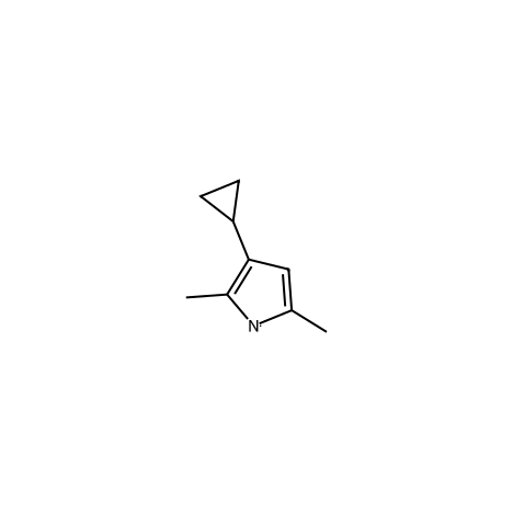 CC1=CC(C2CC2)=C(C)[N]1